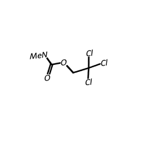 CNC(=O)OCC(Cl)(Cl)Cl